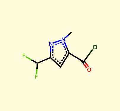 Cn1nc(C(F)F)cc1C(=O)Cl